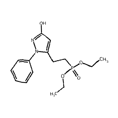 CCOP(=O)(CCc1cc(O)nn1-c1ccccc1)OCC